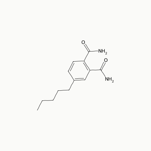 CCCCCc1ccc(C(N)=O)c(C(N)=O)c1